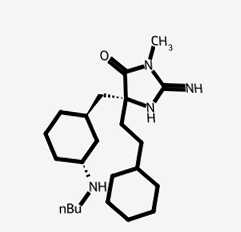 CCCCN[C@@H]1CCC[C@@H](C[C@@]2(CCC3CCCCC3)NC(=N)N(C)C2=O)C1